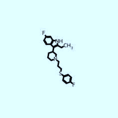 CCc1[nH]c2cc(F)ccc2c1C1CCCN(CCCSc2ccc(F)cc2)C1